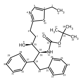 CCc1cnc(CC[C@H](O)[C@@H](NC(=O)OC(C)(C)C)C(Cc2ccccc2)c2ccccc2)s1